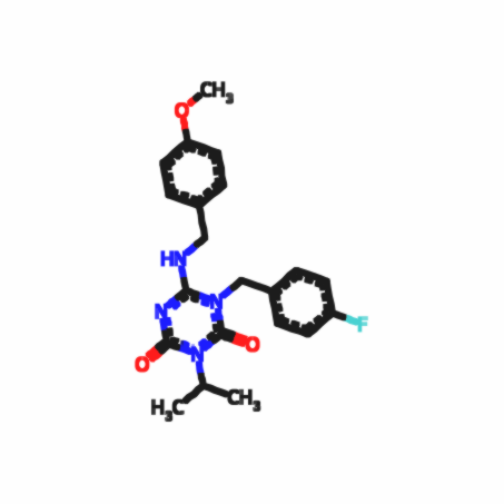 COc1ccc(CNc2nc(=O)n(C(C)C)c(=O)n2Cc2ccc(F)cc2)cc1